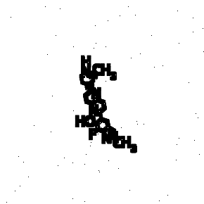 C[C@H]1C[C@@H](c2ccc3nc(-c4cc5cn(C)nc5c(F)c4O)ccc3n2)CCN1